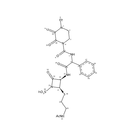 CCN1CCN(C(=O)NC(C(=O)N[C@@H]2C(=O)N(S(=O)(=O)O)[C@@H]2SCCNC(C)=O)c2ccccc2)C(=O)C1=O